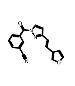 N#Cc1cccc(C(=O)n2ccc(C=Cc3ccoc3)n2)c1